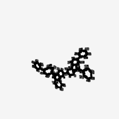 C1=Cc2c(c3cc(-c4ccc5c(c4)c4ccc(-c6ccccc6)cc4n5-c4ccccc4)ccc3n2-c2ccc(-c3ccccc3)cc2)CC1